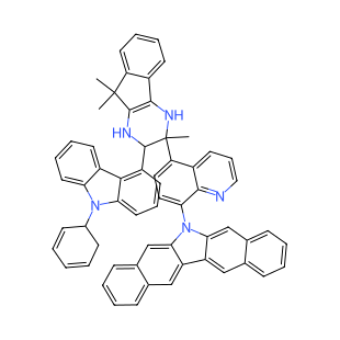 CC1(C)C2=C(NC(C)(c3ccc(-n4c5cc6ccccc6cc5c5cc6ccccc6cc54)c4ncccc34)C(c3cccc4c3c3ccccc3n4C3C=CC=CC3)N2)c2ccccc21